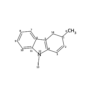 CC1C=Cc2c(c3ccccc3n2I)C1